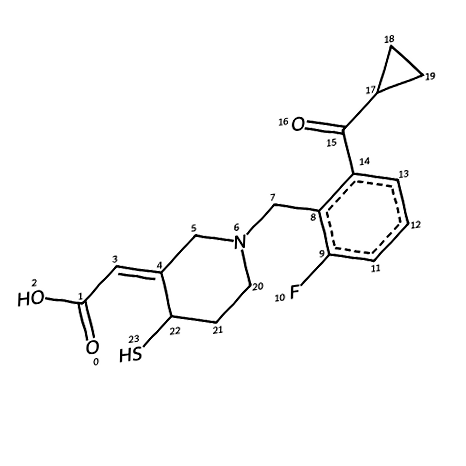 O=C(O)/C=C1/CN(Cc2c(F)cccc2C(=O)C2CC2)CCC1S